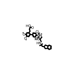 COc1cc(CCC(=O)O)c(-c2cc(Cl)c(S(=O)(=O)N(C)C[C@H](O)CNC(C)(C)CC3Cc4ccccc4C3)c(Cl)c2)cc1OC